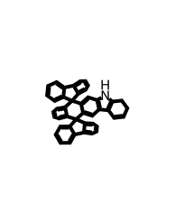 C1=Cc2c([nH]c3cc4c(cc23)C2(c3ccccc3-c3ccccc32)c2ccccc2C42c3ccccc3-c3ccccc32)CC1